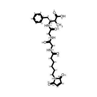 CC(C(=O)O)[C@H](Cc1ccccc1)NC(=O)CNC(=O)CNC(=O)CCCCCN1C(=O)C=CC1=O